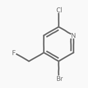 FCc1cc(Cl)ncc1Br